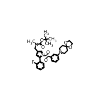 CN(Cc1cc(-c2ccccc2F)n(S(=O)(=O)c2cccc(N3CCC4(CC3)OCCO4)c2)c1)C(=O)OC(C)(C)C